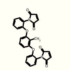 Cc1c(Oc2ccccc2N2C(=O)C=CC2=O)cccc1Oc1ccccc1N1C(=O)C=CC1=O